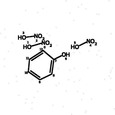 O=[N+]([O-])O.O=[N+]([O-])O.O=[N+]([O-])O.Oc1ccccc1